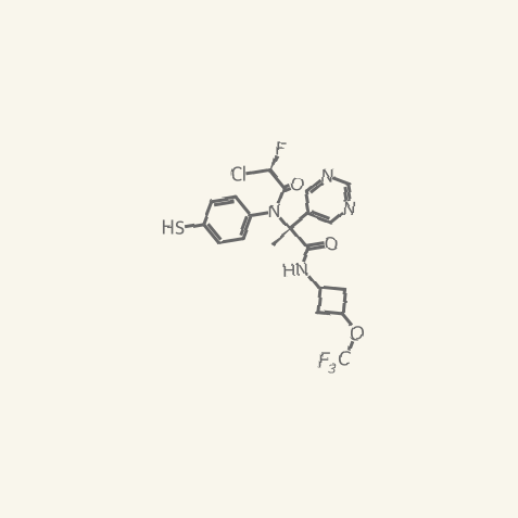 C[C@](C(=O)NC1CC(OC(F)(F)F)C1)(c1cncnc1)N(C(=O)[C@H](F)Cl)c1ccc(S)cc1